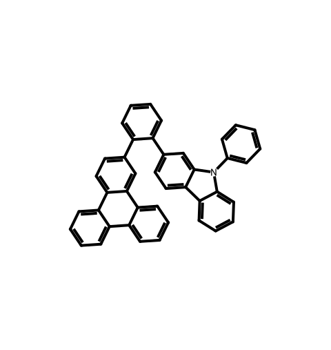 c1ccc(-n2c3ccccc3c3ccc(-c4ccccc4-c4ccc5c6ccccc6c6ccccc6c5c4)cc32)cc1